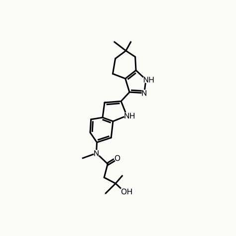 CN(C(=O)CC(C)(C)O)c1ccc2cc(-c3n[nH]c4c3CCC(C)(C)C4)[nH]c2c1